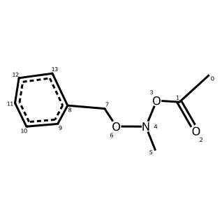 CC(=O)ON(C)OCc1ccccc1